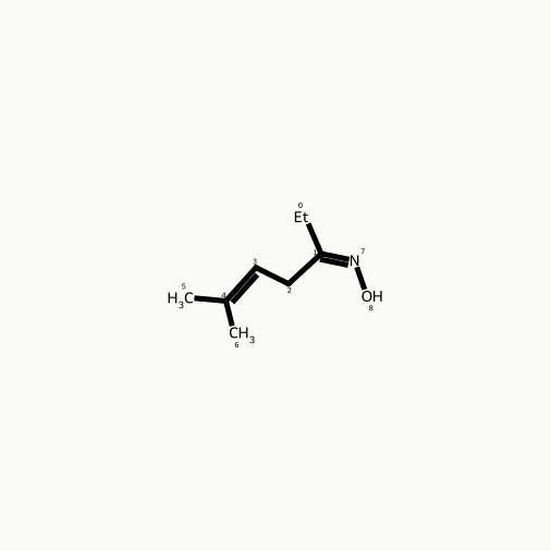 CC/C(CC=C(C)C)=N/O